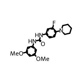 COc1cc(NC(=O)Nc2ccc(N3CCCCC3)c(F)c2)cc(OC)c1